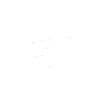 NS(=O)(=O)c1cccc(Nc2nc(N3C[C@@H](O)C[C@H]3CO)c3cc[nH]c3n2)c1